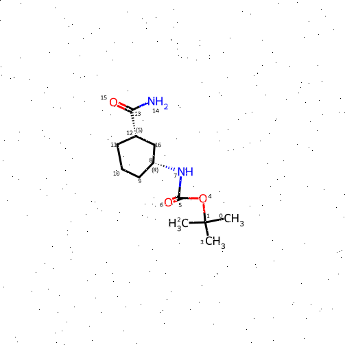 CC(C)(C)OC(=O)N[C@@H]1CCC[C@H](C(N)=O)C1